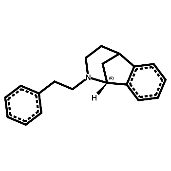 c1ccc(CCN2CCC3C[C@@H]2c2ccccc23)cc1